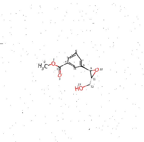 COC(=O)c1cccc([C@H]2O[C@@H]2CO)c1